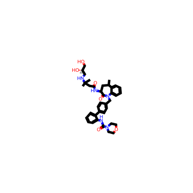 CC1CC(NC(=O)CC(C)(C)NC[C@H](O)CO)C(=O)N(Cc2ccc(-c3ccccc3NC(=O)N3CCOCC3)cc2)c2ccccc21